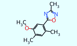 COc1cc(-c2nc(C)no2)c(C)cc1C